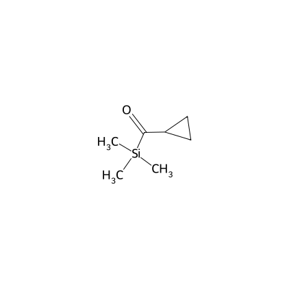 C[Si](C)(C)C(=O)C1CC1